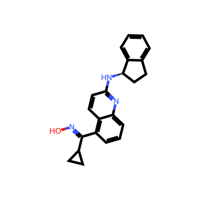 ON=C(c1cccc2nc(N[C@@H]3CCc4ccccc43)ccc12)C1CC1